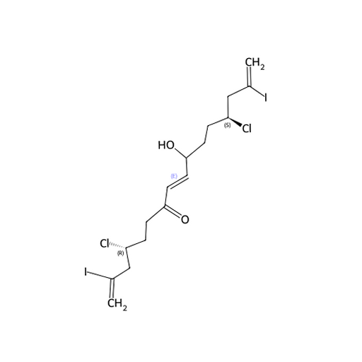 C=C(I)C[C@H](Cl)CCC(=O)/C=C/C(O)CC[C@H](Cl)CC(=C)I